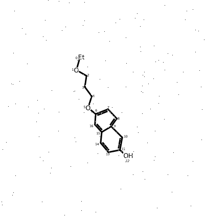 CCOCCCOc1ccc2cc(O)ccc2c1